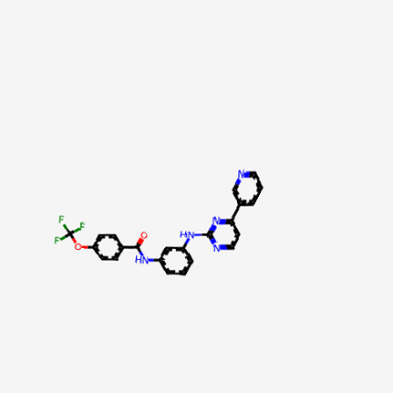 O=C(Nc1cccc(Nc2nccc(-c3cccnc3)n2)c1)c1ccc(OC(F)(F)F)cc1